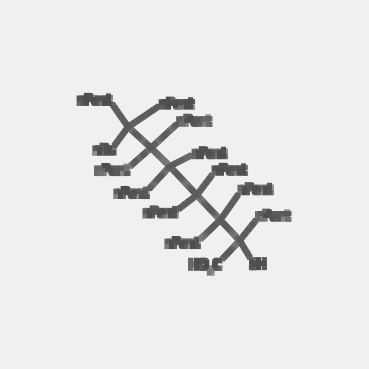 CCCCCC(CCCC)(CCCCC)C(CCCCC)(CCCCC)C(CCCCC)(CCCCC)C(CCCCC)(CCCCC)C(CCCCC)(CCCCC)C(S)(CCCCC)C(=O)O